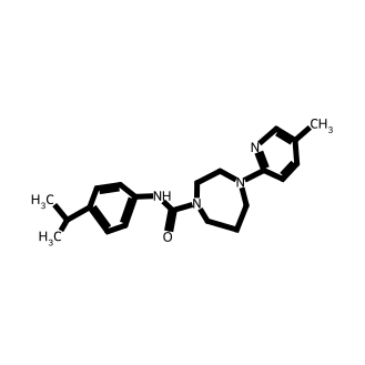 Cc1ccc(N2CCCN(C(=O)Nc3ccc(C(C)C)cc3)CC2)nc1